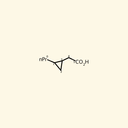 CCCC1CC1CC(=O)O